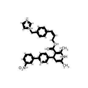 CC1=CC(c2ccc(-c3cccc([N+](=O)[O-])c3)nc2)C(C(=O)OC/C=C\c2ccc(Cn3ccnc3)cc2)=C(C)N1